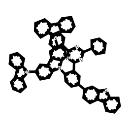 c1ccc(-c2nc(-c3ccccc3)nc(-c3cc(-c4ccc5c(c4)sc4ccccc45)ccc3-n3c4ccc(-n5c6ccccc6c6ccccc65)cc4c4cc(-n5c6ccccc6c6ccccc65)ccc43)n2)cc1